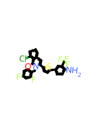 Nc1ccc(-c2ccc(-c3cc4cccc(Cl)c4c(=O)n3Cc3ccc(F)cc3F)s2)cc1C(F)(F)F